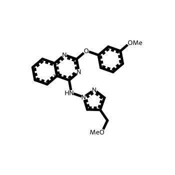 COCc1cnn(Nc2nc(Oc3cccc(OC)c3)nc3ccccc23)c1